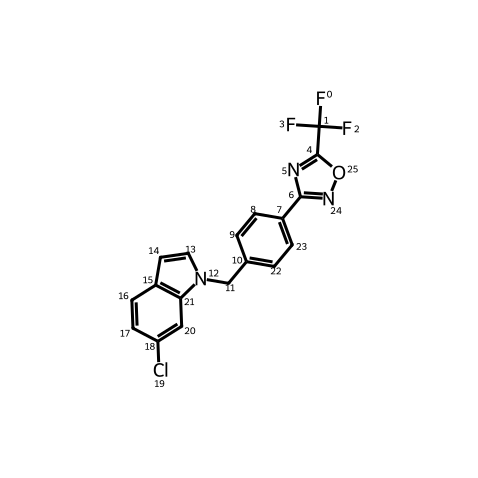 FC(F)(F)c1nc(-c2ccc(Cn3ccc4ccc(Cl)cc43)cc2)no1